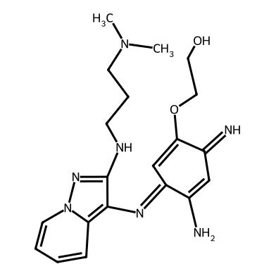 CN(C)CCCNc1nn2ccccc2c1/N=C1\C=C(OCCO)C(=N)C=C1N